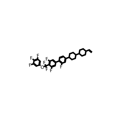 C=CC1CCC(C2CCC(c3ccc(-c4cc(F)c(C(F)(F)Oc5cc(F)c(F)c(F)c5)c(F)c4)c(F)c3)CC2)CC1